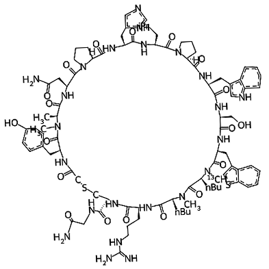 CCCC[C@H]1C(=O)N[C@@H](CCCNC(=N)N)C(=O)N[C@H](C(=O)NCC(N)=O)CSCC(=O)N[C@@H](Cc2ccc(O)cc2)C(=O)N(C)[C@@H](C)C(=O)N[C@@H](CC(N)=O)C(=O)N2CCC[C@H]2C(=O)N[C@@H](Cc2cnc[nH]2)C(=O)N[C@@H](CC(C)C)C(=O)N2CCC[C@H]2C(=O)N[C@@H](Cc2c[nH]c3ccccc23)C(=O)N[C@@H](CO)C(=O)N[C@@H](Cc2csc3ccccc23)C(=O)N([13CH3])[C@@H](CCCC)C(=O)N1C